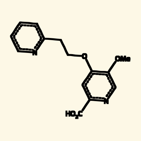 COc1cnc(C(=O)O)cc1OCCc1ccccn1